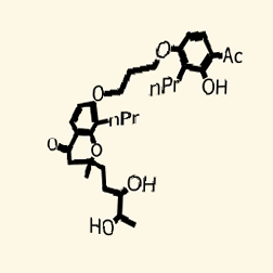 CCCc1c(OCCCOc2ccc3c(c2CCC)OC(C)(CCC(O)C(C)O)CC3=O)ccc(C(C)=O)c1O